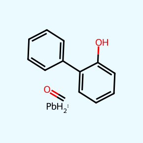 C=O.Oc1ccccc1-c1ccccc1.[PbH2]